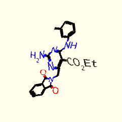 CCOC(=O)c1c(CN2C(=O)c3ccccc3C2=O)nc(N)nc1Nc1cccc(C)c1